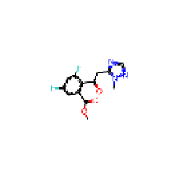 COC(=O)c1cc(F)cc(F)c1C(=O)Cc1ncnn1C